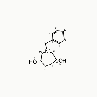 O[C@H]1CC[C@H](O)CN(Cc2ccccc2)C1